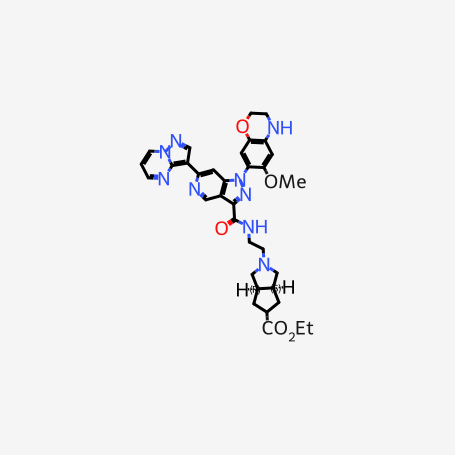 CCOC(=O)C1C[C@@H]2CN(CCNC(=O)c3nn(-c4cc5c(cc4OC)NCCO5)c4cc(-c5cnn6cccnc56)ncc34)C[C@@H]2C1